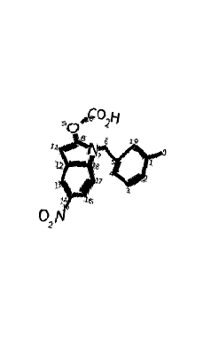 Cc1cccc(Cn2c(OC(=O)O)cc3cc([N+](=O)[O-])ccc32)c1